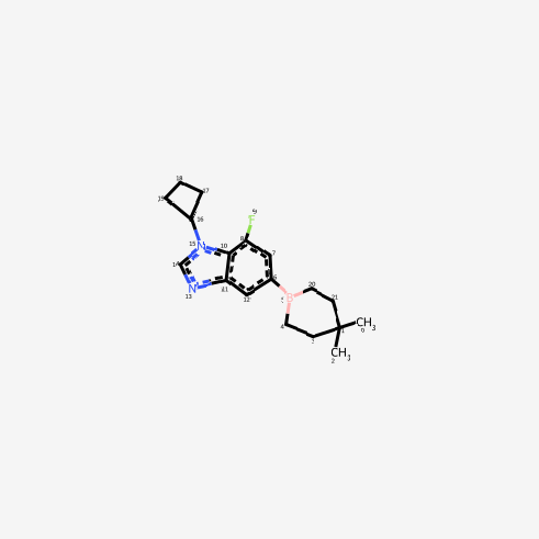 CC1(C)CCB(c2cc(F)c3c(c2)ncn3C2CCC2)CC1